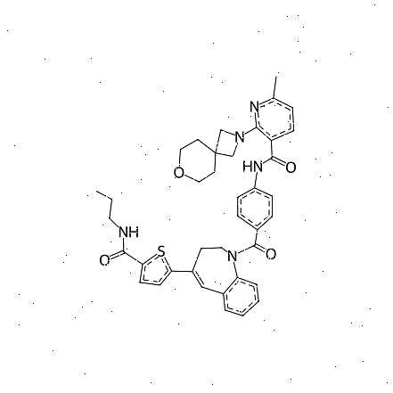 CCCNC(=O)c1ccc(C2=Cc3ccccc3N(C(=O)c3ccc(NC(=O)c4ccc(C)nc4N4CC5(CCOCC5)C4)cc3)CC2)s1